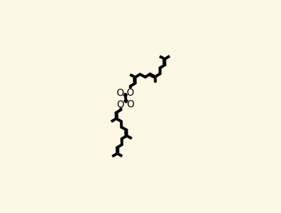 CC(C)=CCCC(C)=CCCC(C)=CCOC(=O)C(=O)OCC=C(C)CCC=C(C)CCC=C(C)C